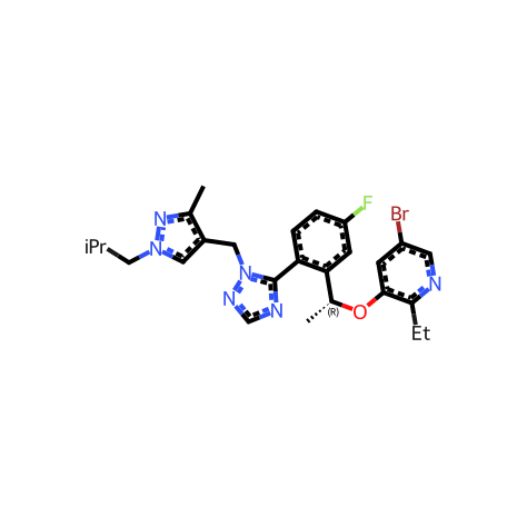 CCc1ncc(Br)cc1O[C@H](C)c1cc(F)ccc1-c1ncnn1Cc1cn(CC(C)C)nc1C